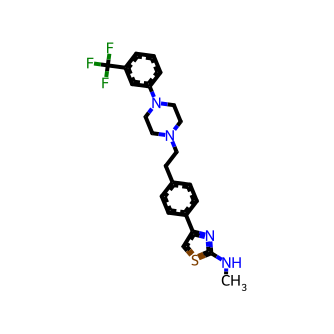 CNc1nc(-c2ccc(CCN3CCN(c4cccc(C(F)(F)F)c4)CC3)cc2)cs1